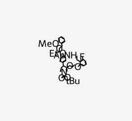 CCC(OCc1ccccc1OC)Oc1ccc(C2CCN(C(=O)OC(C)(C)C)CC2OCCOc2cccc(F)c2CCNC(C)=O)cc1